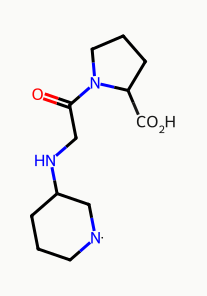 O=C(O)C1CCCN1C(=O)CNC1CCC[N]C1